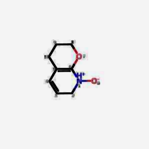 [O-][NH+]1CC=CC2=C1OCCC2